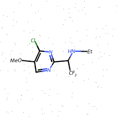 CCNC(c1ncc(OC)c(Cl)n1)C(F)(F)F